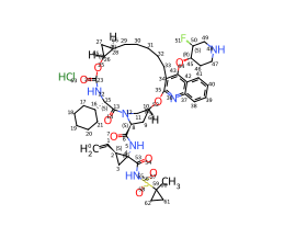 C=C[C@@H]1C[C@]1(NC(=O)[C@@H]1C[C@@H]2CN1C(=O)[C@H](C1CCCCC1)NC(=O)O[C@@H]1C[C@H]1CCCCCc1c(nc3ccccc3c1O[C@@H]1CCNC[C@@H]1F)O2)C(=O)NS(=O)(=O)C1(C)CC1.Cl